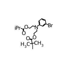 CC(C)C(=O)OCCN(CCOC(=O)C(C)(C)I)c1cccc(Br)c1